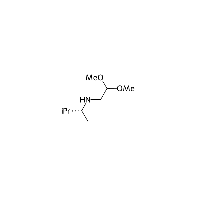 COC(CN[C@H](C)C(C)C)OC